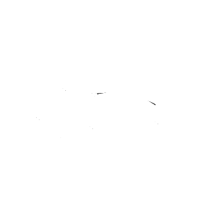 CC1[C@H](n2cnc3c(N)ncnc32)O[C@H](CN(C)C=O)[C@H]1O